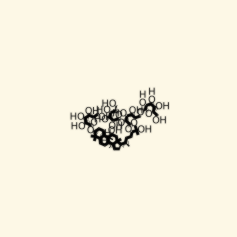 C[C@H](CCC(O[C@@H]1OC(CO[C@@H]2OC(CO)[C@@H](O)[C@H](O)C2O)[C@@H](O)C(O)[C@H]1O[C@@H]1O[C@H](CO)C(O)[C@H](O)C1O)C(C)(C)O)[C@H]1CC[C@@]2(C)[C@@H]3CC=C4[C@@H](CC[C@H](O[C@@H]5OC(CO)[C@@H](O)[C@H](O)[C@H]5O)C4(C)C)[C@]3(C)[C@H](O)CC12C